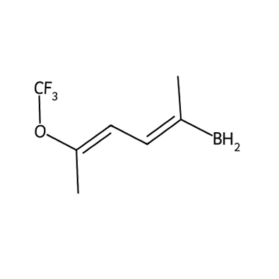 B/C(C)=C/C=C(\C)OC(F)(F)F